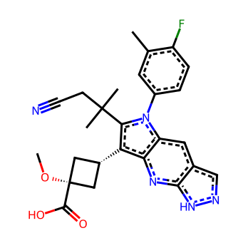 CO[C@]1(C(=O)O)C[C@H](c2c(C(C)(C)CC#N)n(-c3ccc(F)c(C)c3)c3cc4cn[nH]c4nc32)C1